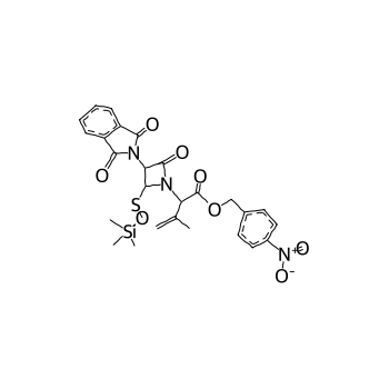 C=C(C)C(C(=O)OCc1ccc([N+](=O)[O-])cc1)N1C(=O)C(N2C(=O)c3ccccc3C2=O)C1SO[Si](C)(C)C